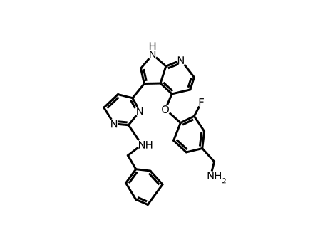 NCc1ccc(Oc2ccnc3[nH]cc(-c4ccnc(NCc5ccccc5)n4)c23)c(F)c1